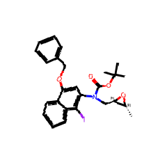 C[C@H]1O[C@@H]1CN(C(=O)OC(C)(C)C)c1cc(OCc2ccccc2)c2ccccc2c1I